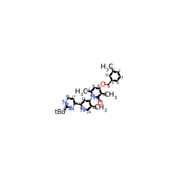 Cc1cccc(COc2cc(C)n(-c3cc(-c4ccnc(C(C)(C)C)n4)ncc3C)c(=O)c2C)c1